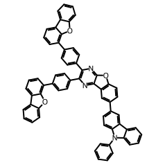 c1ccc(-n2c3ccccc3c3cc(-c4ccc5oc6nc(-c7ccc(-c8cccc9c8oc8ccccc89)cc7)c(-c7ccc(-c8cccc9c8oc8ccccc89)cc7)nc6c5c4)ccc32)cc1